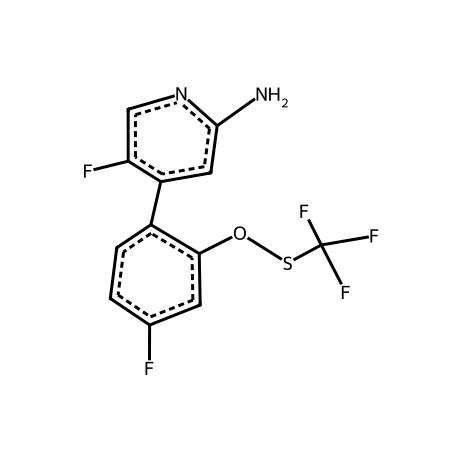 Nc1cc(-c2ccc(F)cc2OSC(F)(F)F)c(F)cn1